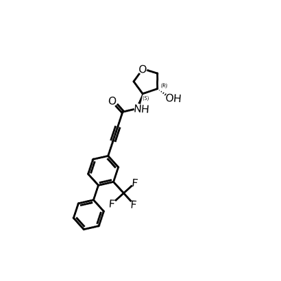 O=C(C#Cc1ccc(-c2ccccc2)c(C(F)(F)F)c1)N[C@H]1COC[C@@H]1O